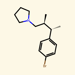 C[C@H](CN1CCCC1)[C@H](C)c1ccc(Br)cc1